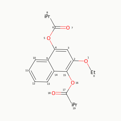 CCOc1cc(OC(=O)C(C)C)c2ccccc2c1OC(=O)C(C)C